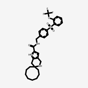 O=C(NCc1ccc(S(=O)(=O)c2ccccc2OC(F)(F)F)cc1)c1cc2c([nH]1)CC1(CCCCCCCC1)NC2